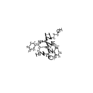 O=C1NCc2c(-c3ccccc3)nc(NCCCO)nc2N1c1c(F)cccc1F